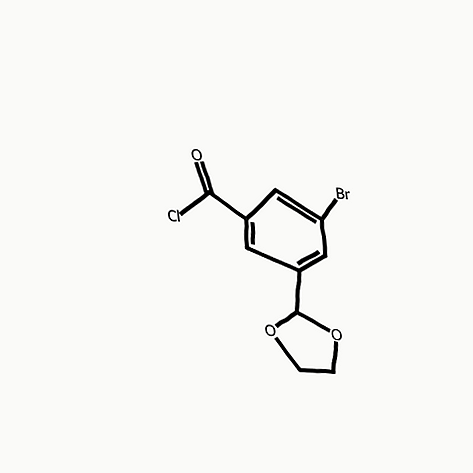 O=C(Cl)c1cc(Br)cc(C2OCCO2)c1